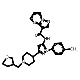 Cc1ccc(-n2nc(C3CCN(CC4CCOC4)CC3)cc2NC(=O)c2cnn3cccnc23)cc1